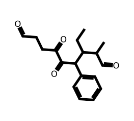 CCC(C(C)C=O)C(C(=O)C(=O)CCC=O)c1ccccc1